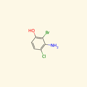 Nc1c(Cl)ccc(O)c1Br